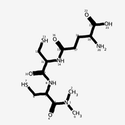 CN(C)C(=O)C(CS)NC(=O)C(CS)NC(=O)CCC(N)C(=O)O